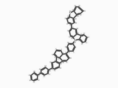 C1=CC2C(c3ccc(-n4c5ccccc5c5cc(-c6ccc7sc8ccccc8c7c6)ccc54)cc3)=CC=C3c4ccc(-c5ccc(-c6ccccc6)cc5)cc4C(=C1)C32